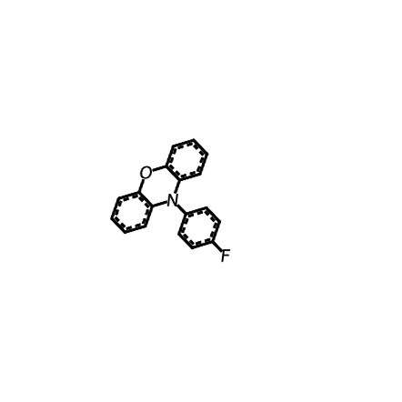 Fc1ccc(N2c3ccccc3Oc3ccccc32)cc1